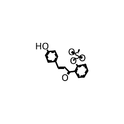 CS(=O)(=O)Oc1ccccc1C(=O)C=Cc1ccc(O)cc1